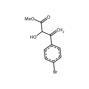 C=C(c1ccc(Br)cc1)C(O)C(=O)OC